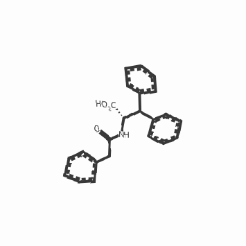 O=C(Cc1ccccc1)N[C@H](C(=O)O)C(c1ccccc1)c1ccccc1